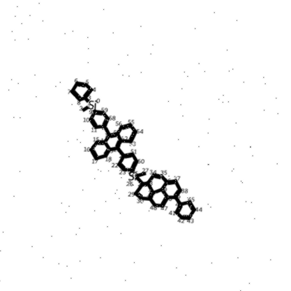 C[Si](C)(c1ccccc1)c1ccc(-c2c3ccccc3c(-c3ccc([Si](C)(C)c4ccc5c6c4C=CC4=CC=C(c7ccccc7)C(=CC5)C46)cc3)c3ccccc23)cc1